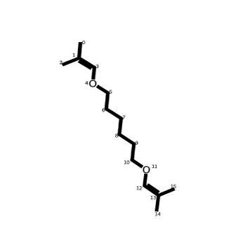 CC(C)=COCCCCCCOC=C(C)C